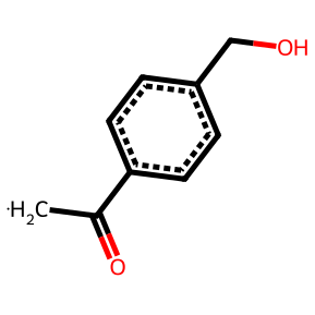 [CH2]C(=O)c1ccc(CO)cc1